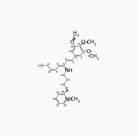 COc1cc(/C=C/C(=C/C=C\CI)NCCCSc2cccc[n+]2C)cc(OC)c1OC